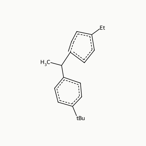 CCc1ccc(C(C)c2ccc(C(C)(C)C)cc2)cc1